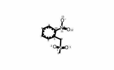 CS(=O)(=O)[CH]c1ccccc1[N+](=O)[O-]